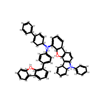 C1=CC2c3ccc4c(c3OC2C(N(c2ccc(-c3cccc5c3oc3ccccc35)cc2)C2C=CC(c3ccccc3)=CC2)=C1)C1C=CC=CC1N4c1ccccc1